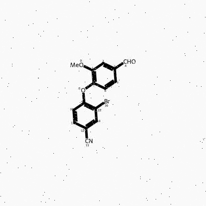 COc1cc(C=O)ccc1Oc1ccc(C#N)cc1Br